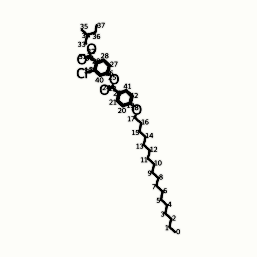 CCCCCCCCCCCCCCCCCCOc1ccc(C(=O)Oc2ccc(C(=O)OCC(C)CC)c(Cl)c2)cc1